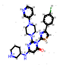 O=c1cc(N[C@@H]2CCCNC2)nc(N2CCN(c3cccnc3)CC2)n1-c1nc(-c2ccc(F)cc2)cs1